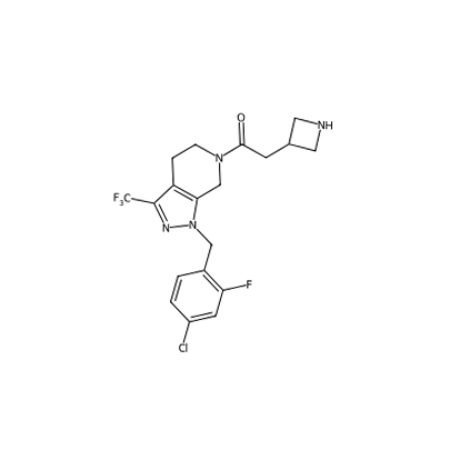 O=C(CC1CNC1)N1CCc2c(C(F)(F)F)nn(Cc3ccc(Cl)cc3F)c2C1